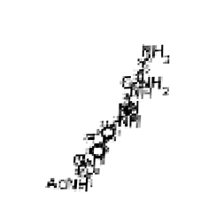 CC(=O)NCC1CN(c2ccc(-c3ccc(CNc4nc(CNC(=O)C(N)CCCCN)ns4)cc3)c(F)c2)C(=O)O1